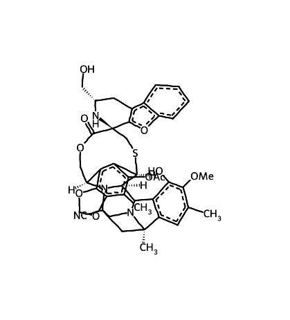 COc1c(C)cc2c(c1O)C1[C@@H]3[C@@H]4SC[C@]5(N[C@H](CO)Cc6c5oc5ccccc65)C(=O)OC[C@@H](c5c6c(c(C)c(OC(C)=O)c54)OCO6)N3C3(C#N)CN1[C@]2(C)C3